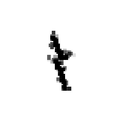 C=CC(CC(=O)CCC(=O)CCC(C)=O)OC(C=C)CC(=O)CCC(=O)CCC(C)=O